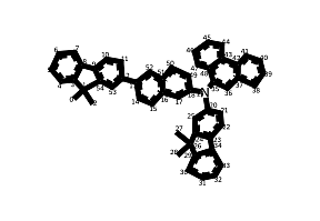 CC1(C)c2ccccc2-c2ccc(-c3ccc4cc(N(c5ccc6c(c5)C(C)(C)c5ccccc5-6)c5cc6ccccc6c6ccccc56)ccc4c3)cc21